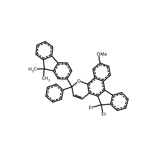 CCC1(CC)c2ccccc2-c2c1c1c(c3cc(OC)ccc23)OC(c2ccccc2)(c2ccc3c(c2)C(C)(C)c2ccccc2-3)C=C1